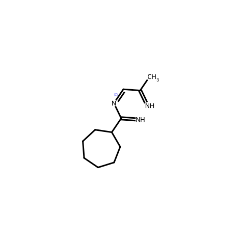 CC(=N)/C=N\C(=N)C1CCCCCC1